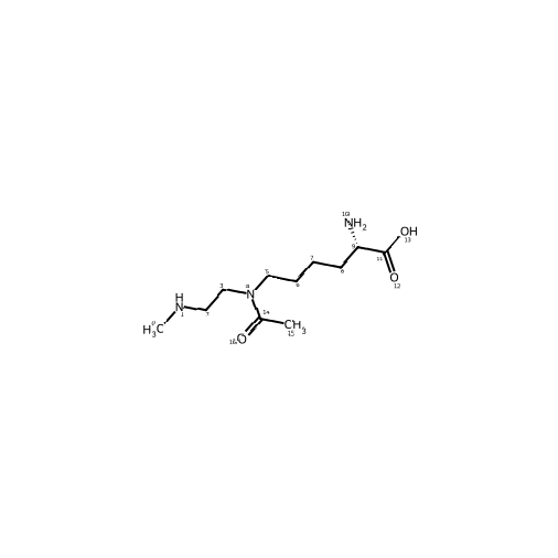 CNCCN(CCCC[C@H](N)C(=O)O)C(C)=O